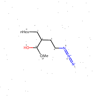 CCCCCCCC(CCN=[N+]=[N-])C(O)OC